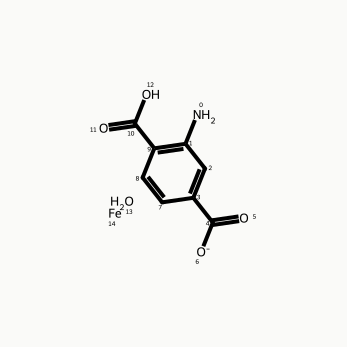 Nc1cc(C(=O)[O-])ccc1C(=O)O.O.[Fe]